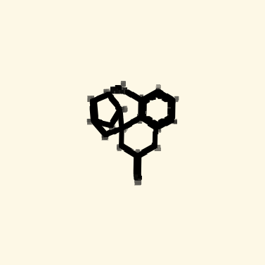 CCCCc1cccc2c1C1(CC(=O)C2)CC2=CCC1C2